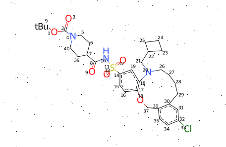 CC(C)(C)OC(=O)N1CCC(C(=O)NS(=O)(=O)c2ccc3c(c2)N(CC2CCC2)CCCCc2cc(Cl)ccc2CO3)CC1